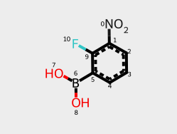 O=[N+]([O-])c1cccc(B(O)O)c1F